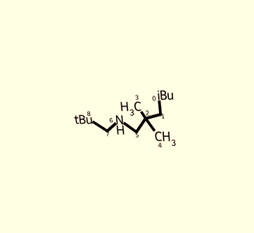 CCC(C)CC(C)(C)CNCC(C)(C)C